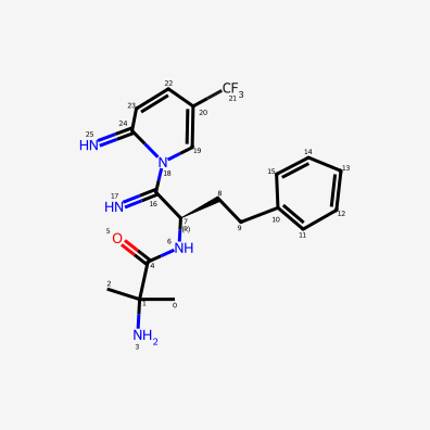 CC(C)(N)C(=O)N[C@H](CCc1ccccc1)C(=N)n1cc(C(F)(F)F)ccc1=N